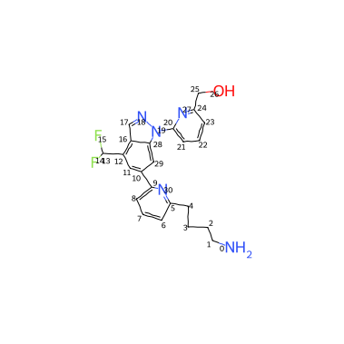 NCCCCc1cccc(-c2cc(C(F)F)c3cnn(-c4cccc(CO)n4)c3c2)n1